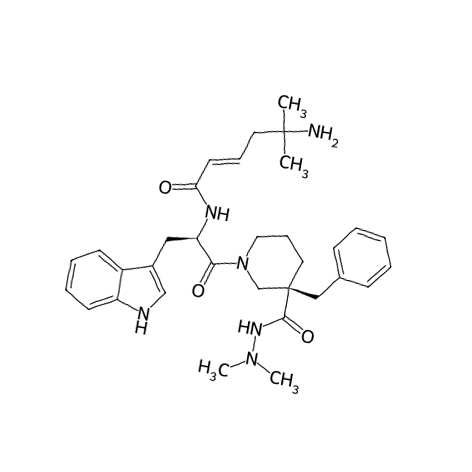 CN(C)NC(=O)[C@@]1(Cc2ccccc2)CCCN(C(=O)[C@@H](Cc2c[nH]c3ccccc23)NC(=O)/C=C/CC(C)(C)N)C1